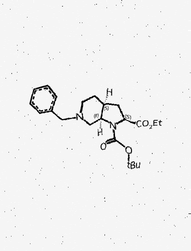 CCOC(=O)[C@@H]1C[C@@H]2CCN(Cc3ccccc3)C[C@@H]2N1C(=O)OC(C)(C)C